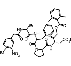 CCC(C)C(NC(=O)Cc1ccc(O)c([N+](=O)[O-])c1)C(=O)NC(Cc1ccccc1)C(=O)N1CCCC1C(=O)N[C@@H](CC(=O)O)C(=O)COC(=O)c1c(C)cccc1C